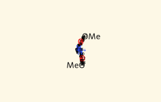 COCCOCCn1cc[n+](CCOCCOC)c1